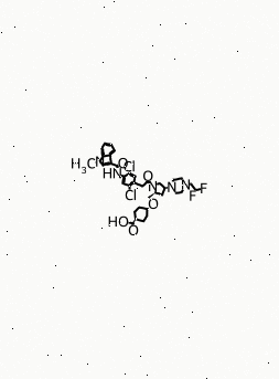 Cn1cc(C(=O)Nc2cc(Cl)c(CC(=O)N3C[C@@H](N4CCN(CC(F)F)CC4)C[C@H]3CO[C@H]3CC[C@H](C(=O)O)CC3)cc2Cl)c2ccccc21